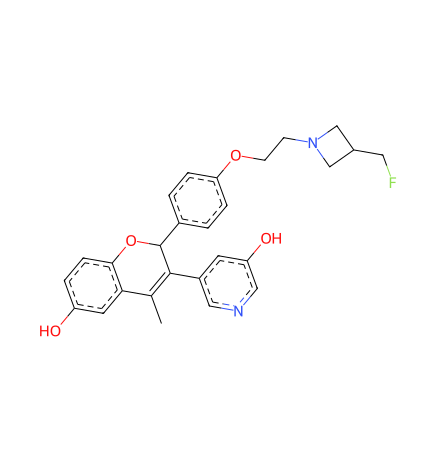 CC1=C(c2cncc(O)c2)C(c2ccc(OCCN3CC(CF)C3)cc2)Oc2ccc(O)cc21